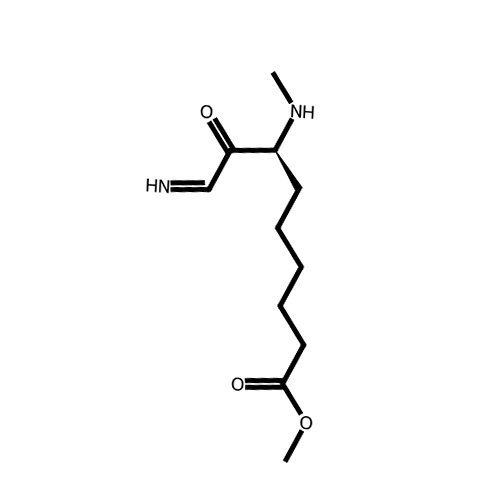 CN[C@@H](CCCCCC(=O)OC)C(=O)C=N